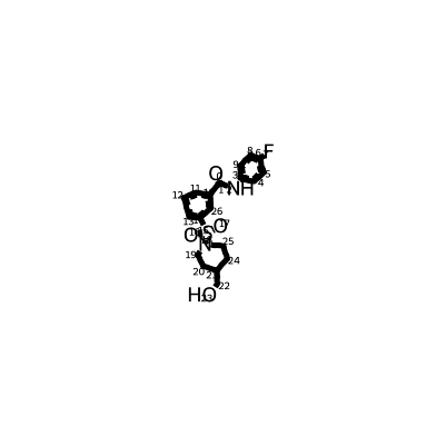 O=C(Nc1ccc(F)cc1)c1cccc(S(=O)(=O)N2CCC(CO)CC2)c1